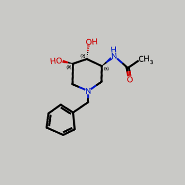 CC(=O)N[C@H]1CN(Cc2ccccc2)C[C@@H](O)[C@@H]1O